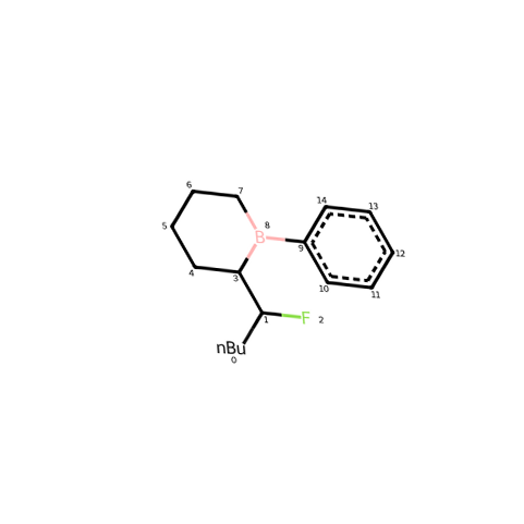 CCCCC(F)C1CCCCB1c1ccccc1